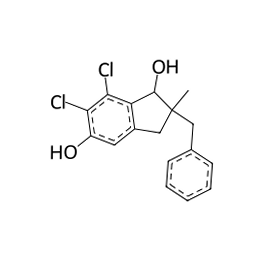 CC1(Cc2ccccc2)Cc2cc(O)c(Cl)c(Cl)c2C1O